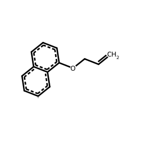 C=CCOc1cccc2cc[c]cc12